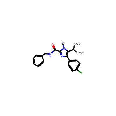 CCn1c(C(=O)NCc2ccccc2)nc(-c2ccc(F)cc2)c1C(OC)OC